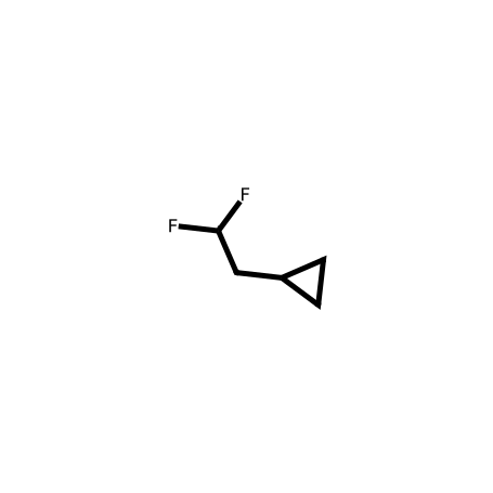 F[C](F)CC1CC1